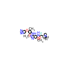 [2H]C([2H])([2H])N1CCC[C@@H]1/C=C(\F)C(=O)Nc1cc2c(Nc3cc(C)c(Oc4ccn5ncnc5c4)cc3OC)ncnc2cc1OC